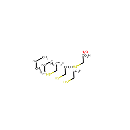 O.O=C(O)CS.O=C(O)CS.O=C(O)CS.O=C(O)CS.[CH3][Sn][CH3].[CH3][Sn][CH3]